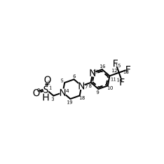 O=[SH](=O)CN1CCN(c2ccc(C(F)(F)F)cn2)CC1